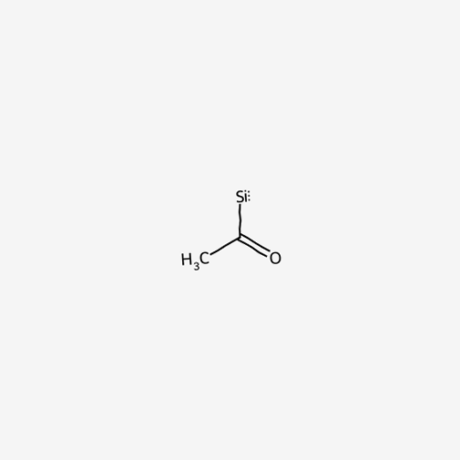 CC(=O)[Si]